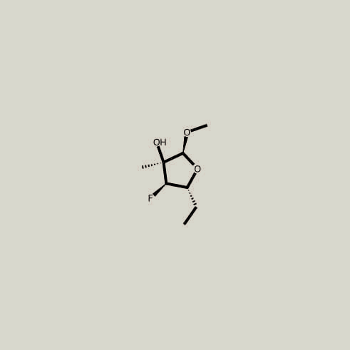 CC[C@H]1O[C@H](OC)[C@](C)(O)[C@@H]1F